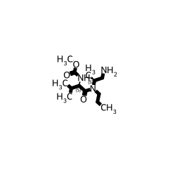 CCCN(C(=O)[C@@H](NC(=O)OC)C(C)C)[C@@H](C)CN